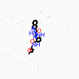 Cc1ccc(CNC(=O)c2cccc3[nH]c(NC(=O)c4cc5ccccc5cn4)nc23)o1